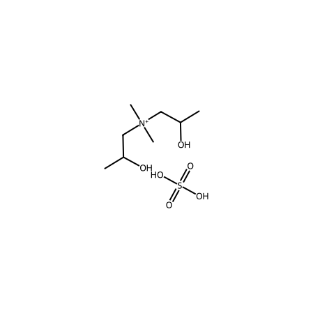 CC(O)C[N+](C)(C)CC(C)O.O=S(=O)(O)O